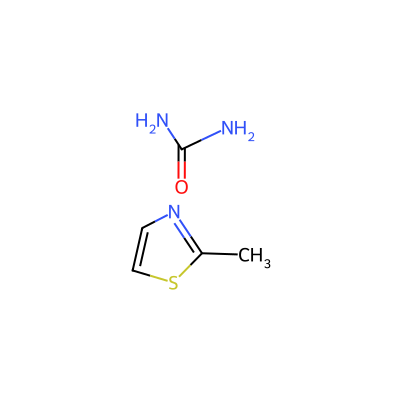 Cc1nccs1.NC(N)=O